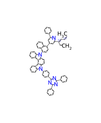 C=C/C(=C\C=C/C)c1cc(-c2ccc(-n3c4ccccc4c4c5c6ccccc6n(-c6ccc(-c7nc(-c8ccccc8)nc(-c8ccccc8)n7)cc6)c5ccc43)c3ccccc23)cc(-c2ccccc2)n1